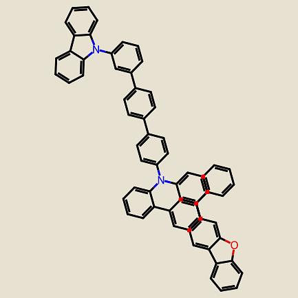 c1ccc(-c2cccc(-c3ccccc3N(c3ccc(-c4ccc(-c5cccc(-n6c7ccccc7c7ccccc76)c5)cc4)cc3)c3cccc(-c4ccc5c(c4)oc4ccccc45)c3)c2)cc1